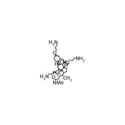 CNC(=O)CCC(C)C1CC[C@H]2C3[C@H](OCCCN)CC4C[C@H](OCCCN)CC[C@]4(C)[C@H]3C[C@H](OCCCN)[C@]12C